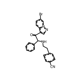 N#Cc1ccc(CCNC(C(=O)c2cnn3cc(Br)ccc23)c2ccccc2)cc1